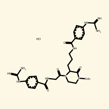 CC(=O)ON1CCN(C(=O)CNC(=O)c2ccc(NC(=N)N)cc2)C(CCCNC(=O)c2ccc(NC(=N)N)cc2)C1=O.Cl